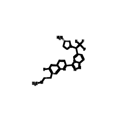 COCCc1cc2nc(-c3nnc4ccc([C@@H](N5CC[C@H](N)C5)C(F)(F)F)cn34)ccc2cc1F